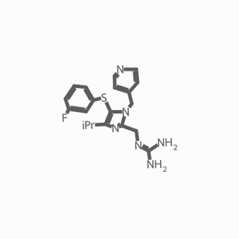 CC(C)c1nc(CN=C(N)N)n(Cc2ccncc2)c1Sc1cccc(F)c1